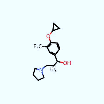 C[C@H](CN1CCCC1)C(O)c1ccc(OC2CC2)c(C(F)(F)F)c1